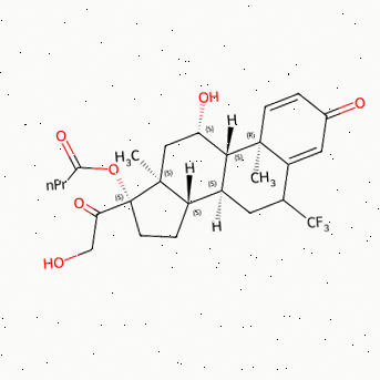 CCCC(=O)O[C@@]1(C(=O)CO)CC[C@H]2[C@@H]3CC(C(F)(F)F)C4=CC(=O)C=C[C@]4(C)[C@H]3[C@@H](O)C[C@@]21C